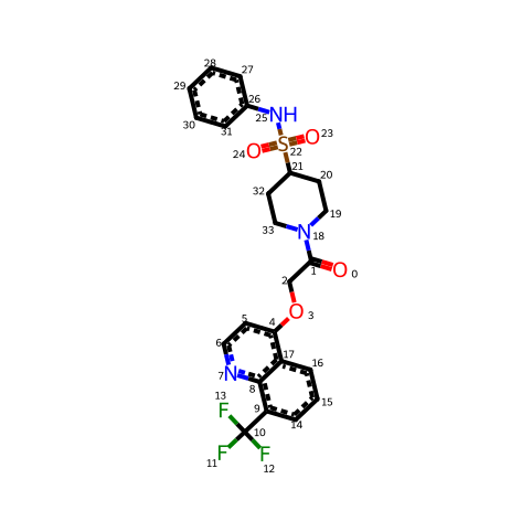 O=C(COc1ccnc2c(C(F)(F)F)cccc12)N1CCC(S(=O)(=O)Nc2ccccc2)CC1